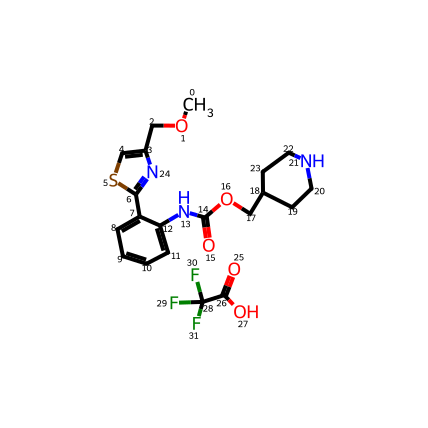 COCc1csc(-c2ccccc2NC(=O)OCC2CCNCC2)n1.O=C(O)C(F)(F)F